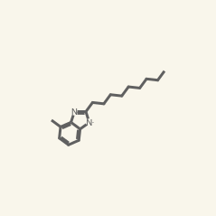 CCCCCCCCCC1=Nc2c(C)cccc2[N]1